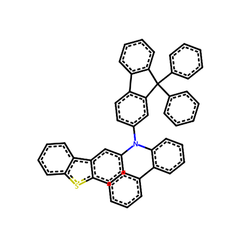 c1ccc(-c2ccccc2N(c2ccc3c(c2)C(c2ccccc2)(c2ccccc2)c2ccccc2-3)c2ccc3sc4ccccc4c3c2)cc1